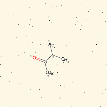 CC(=O)OC(=O)C(C)C(C)=O